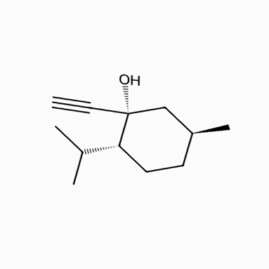 C#C[C@@]1(O)C[C@@H](C)CC[C@@H]1C(C)C